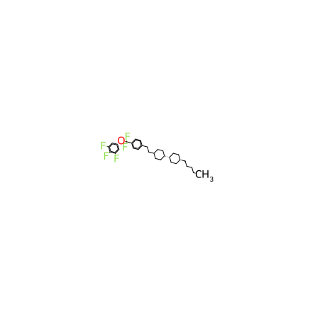 CCCCC[C@H]1CC[C@H](C2CCC(CCc3ccc(C(F)(F)Oc4cc(F)c(F)c(F)c4)cc3)CC2)CC1